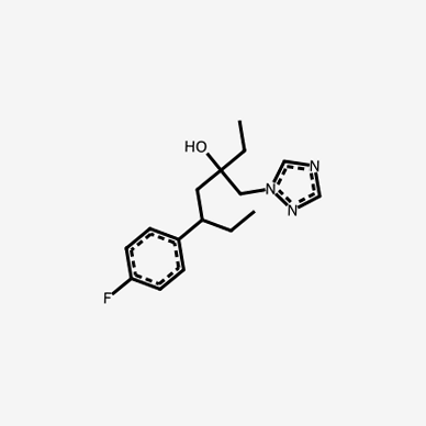 CCC(CC(O)(CC)Cn1cncn1)c1ccc(F)cc1